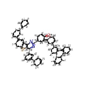 c1ccc(-c2cccc(-c3ccc4sc5c(-c6cccc(-c7ccccc7)c6)nc(-c6ccc7oc8ccc(-c9ccc%10c%11ccccc%11c%11ccccc%11c%10c9)cc8c7c6)nc5c4c3)c2)cc1